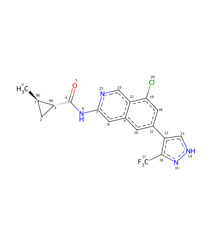 C[C@@H]1C[C@H]1C(=O)Nc1cc2cc(-c3c[nH]nc3C(F)(F)F)cc(Cl)c2cn1